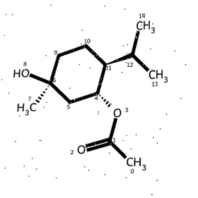 CC(=O)O[C@@H]1C[C@@](C)(O)CC[C@H]1C(C)C